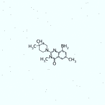 Bc1cc(C)cc2c(=O)n(C)c(N3CCC(C)(C)CC3)nc12